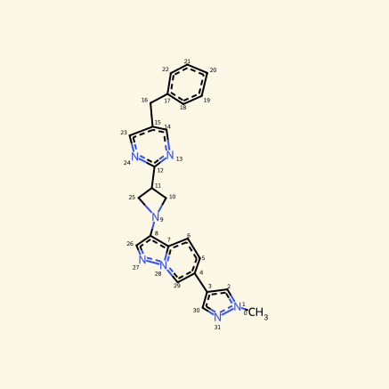 Cn1cc(-c2ccc3c(N4CC(c5ncc(Cc6ccccc6)cn5)C4)cnn3c2)cn1